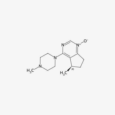 C[C@@H]1CCc2c1c(N1CCN(C)CC1)nc[n+]2[O-]